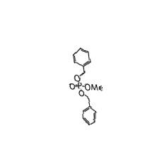 [CH2]OP(=O)(OCc1ccccc1)OCc1ccccc1